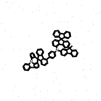 CC1(C)c2ccccc2-c2ccc(N(c3ccc(-c4cccc5c4-c4ccccc4C54c5ccccc5-n5c6ccccc6c6cccc4c65)cc3)c3cccc4c3-c3ccccc3C43c4ccccc4-c4ccccc43)cc21